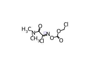 CN(C)C(=O)/C(Cl)=N/OC(=O)OCCl